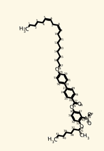 CCCCC/C=C\C/C=C\CCCCCCCCOc1ccc(-c2ccc(C(=O)Oc3ccc(O[C@@H](C)CCCCCC)c([N+](=O)[O-])c3)cc2)cc1